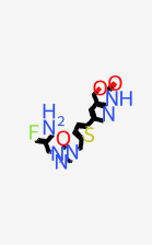 NC/C(=C\F)Cn1ncn(Cc2ccc(-c3cnc4c(c3)COC(=O)N4)s2)c1=O